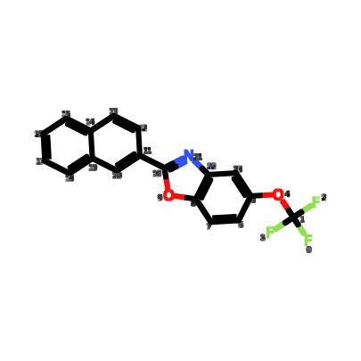 FC(F)(F)Oc1ccc2oc(-c3ccc4ccccc4c3)nc2c1